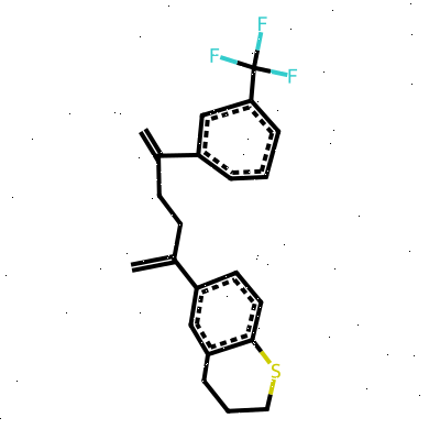 C=C(CCC(=C)c1ccc2c(c1)CCCS2)c1cccc(C(F)(F)F)c1